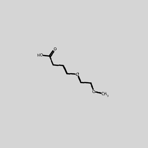 COCCOCCCC(=O)O